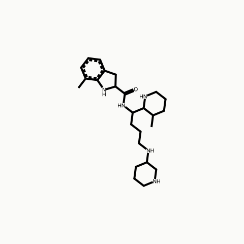 Cc1cccc2c1NC(C(=O)NC(CCCNC1CCCNC1)C1NCCCC1C)C2